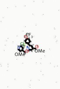 COC(=O)c1ccnc(-c2ccc(OC(F)(F)F)cc2F)c1.COC(=O)c1ccnc(Cl)c1